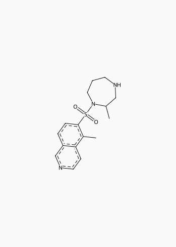 Cc1c(S(=O)(=O)N2CCCNCC2C)ccc2cnccc12